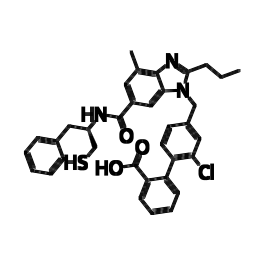 CCCc1nc2c(C)cc(C(=O)N[C@@H](CS)Cc3ccccc3)cc2n1Cc1ccc(-c2ccccc2C(=O)O)c(Cl)c1